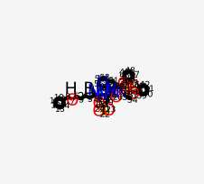 BNC(CCCCOCc1ccccc1)C(=O)NC(CCS(C)(=O)=O)C(=O)N1C(C(=O)NC(CC)P(=O)(Oc2ccccc2)Oc2ccccc2)CC2CCCCC21